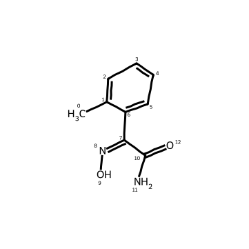 Cc1ccccc1C(=NO)C(N)=O